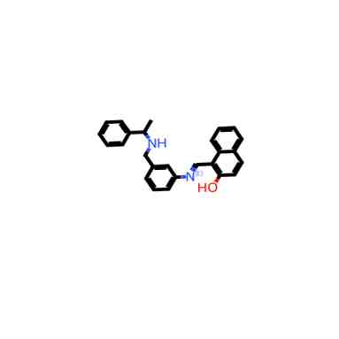 CC(NCc1cccc(/N=C/c2c(O)ccc3ccccc23)c1)c1ccccc1